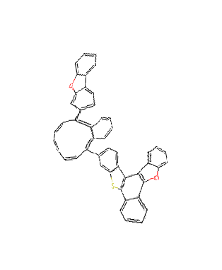 c1cccc(-c2ccc3c(c2)sc2c4ccccc4c4oc5ccccc5c4c32)c2ccccc2c(-c2ccc3c(c2)oc2ccccc23)cc1